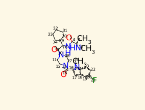 CNC(C)C(=O)NC(C(=O)N1CCN(C(=O)c2cc3cc(F)ccc3n2C)CC1)C1CCCCC1